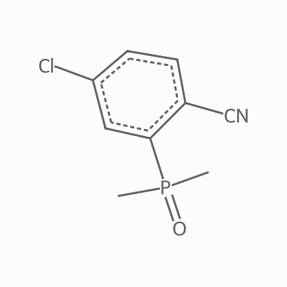 CP(C)(=O)c1cc(Cl)ccc1C#N